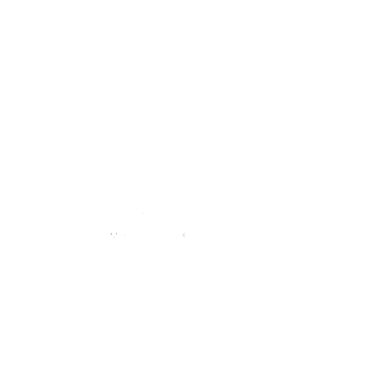 COC(=O)C(O)C(Cc1ccccc1)c1ccsc1